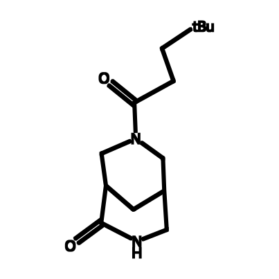 CC(C)(C)CCC(=O)N1CC2CNC(=O)C(C2)C1